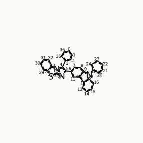 c1ccc(-c2c(-c3ccc4c(c3)c3ccccc3n4-c3ccccc3)nc3sc4ccccc4n23)cc1